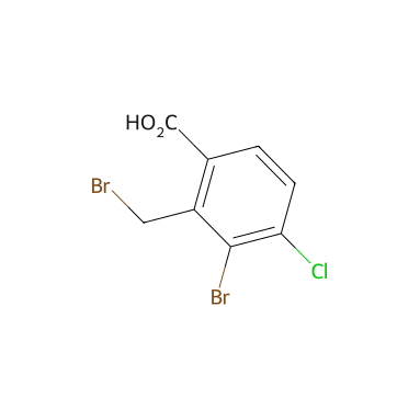 O=C(O)c1ccc(Cl)c(Br)c1CBr